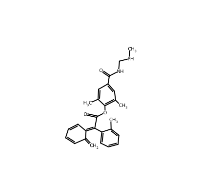 C=c1cccc/c1=C(\C(=O)Oc1c(C)cc(C(=O)NCPC)cc1C)c1ccccc1C